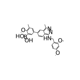 COc1ccc(CNc2nnc(C)c3cc(-c4cc(C)c(OC)c(B(O)O)c4)ccc23)c(OC)c1